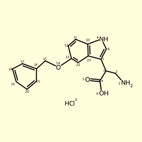 Cl.NCC(C(=O)O)c1c[nH]c2ccc(OCc3ccccc3)cc12